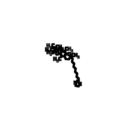 Cc1c(C)c2c(c(C)c1O[Si](C)(C)C(C)(C)C)CCC(C)(CCCCCCCCCn1nccn1)O2